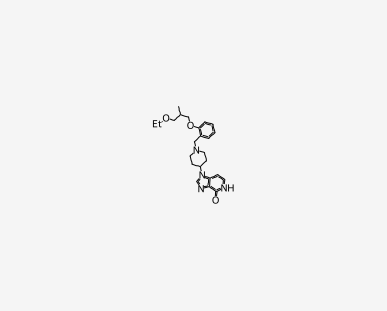 CCOCC(C)COc1ccccc1CN1CCC(n2cnc3c(=O)[nH]ccc32)CC1